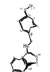 Cc1ccc2c(NCc3ccc(SC(F)(F)F)cc3)noc2n1